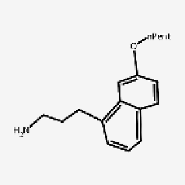 CCCCCOc1ccc2cccc(CCCN)c2c1